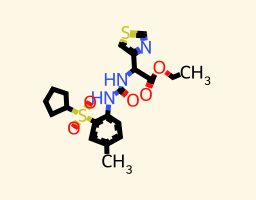 CCOC(=O)C(NC(=O)Nc1ccc(C)cc1S(=O)(=O)C1CCCC1)c1cscn1